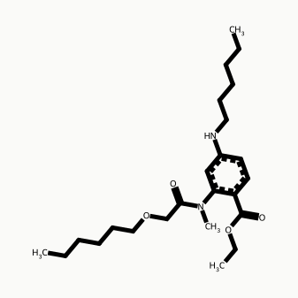 CCCCCCNc1ccc(C(=O)OCC)c(N(C)C(=O)COCCCCCC)c1